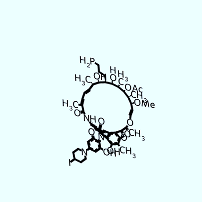 CO[C@H]1/C=C/O[C@@]2(C)Oc3c(C)c(O)c4c(=O)c(c5oc6cc(N7CCC(I)CC7)cc(O)c6nc-5c4c3C2=O)NC(=O)/C(C)=C\C=C\[C@H](C)[C@H](O)[C@@H](CCCP)[C@@H](O)[C@@H](C)[C@H](OC(C)=O)[C@@H]1C